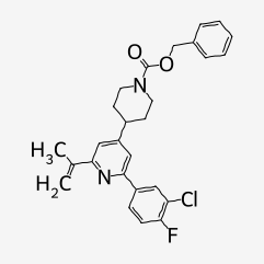 C=C(C)c1cc(C2CCN(C(=O)OCc3ccccc3)CC2)cc(-c2ccc(F)c(Cl)c2)n1